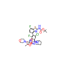 C[C@@H](CN1CCOCC1)Oc1nc(N2C3CCC2CN(C(=O)OC(C)(C)C)C3)c2cc(Cl)c(-c3ccc(F)c4sc(NC(=O)OC(C)(C)C)nc34)c(F)c2n1